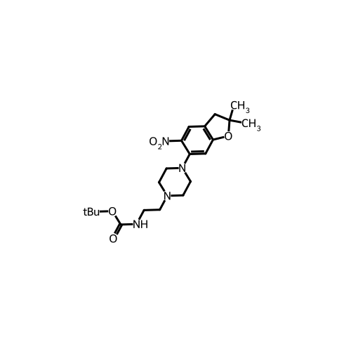 CC(C)(C)OC(=O)NCCN1CCN(c2cc3c(cc2[N+](=O)[O-])CC(C)(C)O3)CC1